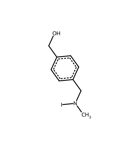 CN(I)Cc1ccc(CO)cc1